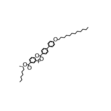 CCCCCCCCCCCCOc1ccc(-c2ccc(C(=O)Oc3ccc(C(=O)O[C@H](C)CCCCCC)cc3F)cc2)cc1